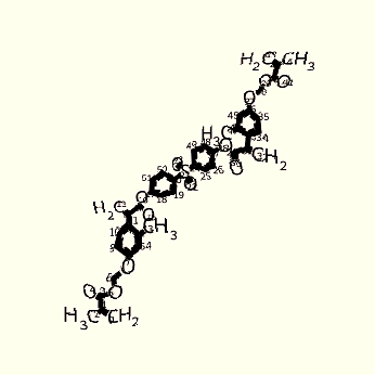 C=C(C)C(=O)OCOc1ccc(C(=C)C(=O)Oc2ccc(S(=O)(=O)c3ccc(OC(=O)C(=C)c4ccc(OCOC(=O)C(=C)C)cc4C)cc3)cc2)c(C)c1